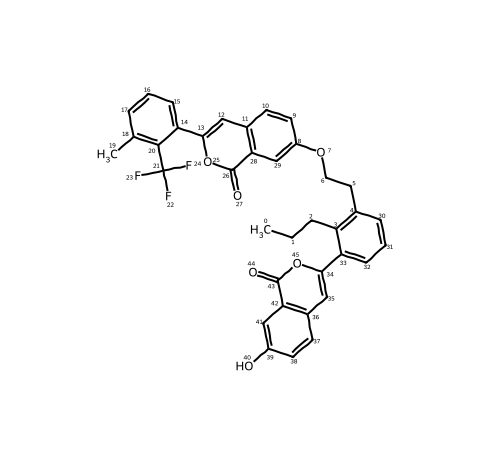 CCCc1c(CCOc2ccc3cc(-c4cccc(C)c4C(F)(F)F)oc(=O)c3c2)cccc1-c1cc2ccc(O)cc2c(=O)o1